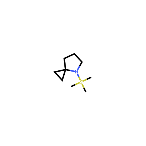 CS(C)(C)N1CCCC12CC2